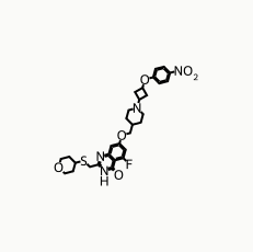 O=c1[nH]c(CSC2CCOCC2)nc2cc(OCC3CCN(C4CC(Oc5ccc([N+](=O)[O-])cc5)C4)CC3)cc(F)c12